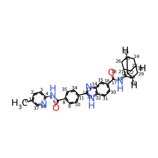 Cc1ccc(NC(=O)c2ccc(-c3nc4cc(C(=O)NC5C6C[C@H]7C[C@@H](C6)C[C@@H]5C7)ccc4[nH]3)cc2)nc1